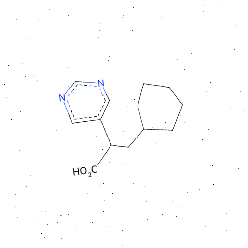 O=C(O)C(CC1CCCCC1)c1cncnc1